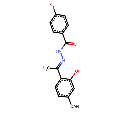 COc1ccc(/C(C)=N/NC(=O)c2ccc(Br)cc2)c(O)c1